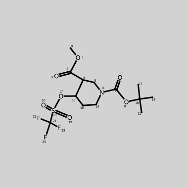 COC(=O)C1CN(C(=O)OC(C)(C)C)CCC1OS(=O)(=O)C(F)(F)F